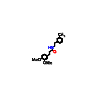 COc1ccc(/C=C/C(=O)NCCc2cccc(C)c2)cc1OC